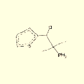 CC(C)(P)C(Cl)c1cccs1